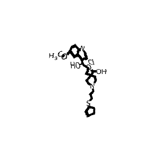 COc1ccc2ncc(Cl)c([C@H](O)CCC3(C(=O)O)CCN(CCCSC4CCCC4)CC3)c2c1